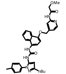 CCCCc1cc(NC(=O)Nc2ccc(OCc3ccnc(NC(=O)COC)c3)c3ccccc23)n(-c2ccc(C)cc2)n1